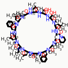 CC[C@H](C)[C@@H]1NC(=O)[C@H](CC(C)C)N(C)C(=O)[C@H](C)N(C)C(=O)[C@H](Cc2ccccc2)N(C)C(=O)[C@@H](C)N(C)C(=O)C[C@@H](C(=O)N2CCCCC2)NC(=O)[C@H](CC(C)C)N(C)C(=O)[C@H]([C@@H](C)O)NC(=O)[C@H](CO)NC(=O)[C@H](CC(C)C)NC(=O)[C@H](C)N(C)C(=O)[C@H](CC(C)C)N(C)C(=O)[C@H](Cc2ccccc2)NC(=O)[C@H](CC(C)C)N(C)C1=O